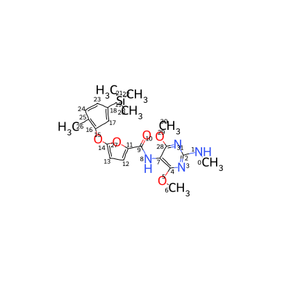 CNc1nc(OC)c(NC(=O)c2ccc(Oc3cc([Si](C)(C)C)ccc3C)o2)c(OC)n1